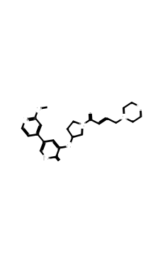 CNc1cc(-c2c[nH]c(=O)c(NC3CCN(C(=O)/C=C/CN4CCOCC4)C3)c2)ccn1